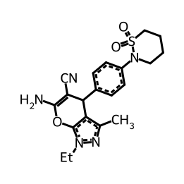 CCn1nc(C)c2c1OC(N)=C(C#N)C2c1ccc(N2CCCCS2(=O)=O)cc1